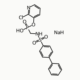 O=P(O)(CNS(=O)(=O)c1ccc(-c2ccccc2)cc1)Oc1cccnc1Cl.[NaH]